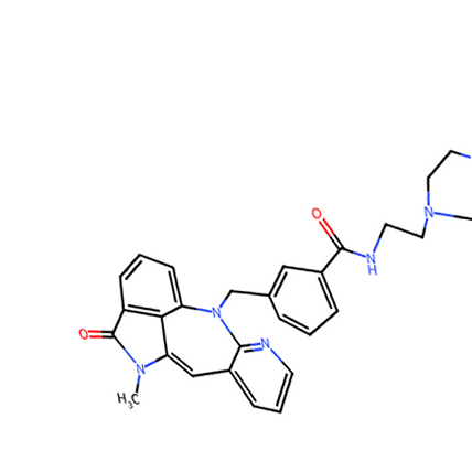 CN1C(=O)c2cccc3c2C1=Cc1cccnc1N3Cc1cccc(C(=O)NCCN2CCNCC2)c1